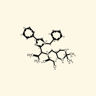 C=C(C)C(c1nc(-c2ccccc2)cn1Cc1ccccc1)N(CC1COC(C)(C)OC1)C(=O)CCl